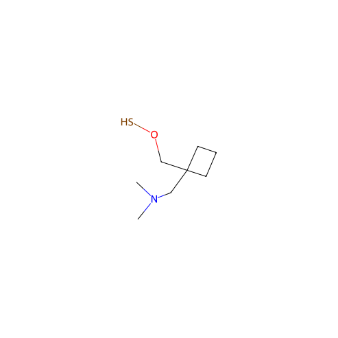 CN(C)CC1(COS)CCC1